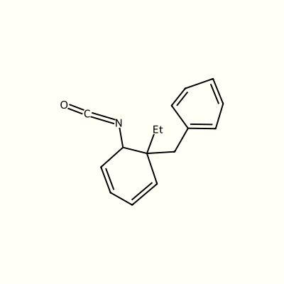 CCC1(Cc2ccccc2)C=CC=CC1N=C=O